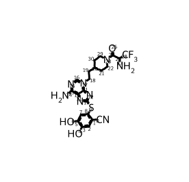 N#Cc1cc(O)c(O)cc1Sc1nc2c(N)ncn(CCC3CCN(C(=O)C(N)C(F)(F)F)CC3)c-2n1